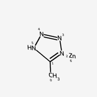 Cc1nnn[nH]1.[Zn]